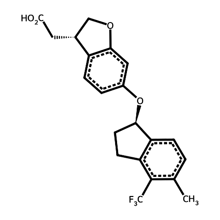 Cc1ccc2c(c1C(F)(F)F)CC[C@H]2Oc1ccc2c(c1)OC[C@H]2CC(=O)O